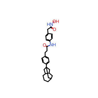 O=C(Cc1ccc(NC(=O)CCc2ccc(C34CC5CCCC(C3)C(C5)C4)cc2)cc1)NO